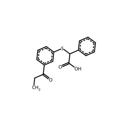 CCC(=O)c1cccc(SC(C(=O)O)c2ccccc2)c1